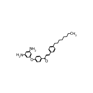 CCCCCCCCc1ccc(C=CC(=O)c2ccc(Oc3cc(N)cc(N)c3)cc2)cc1